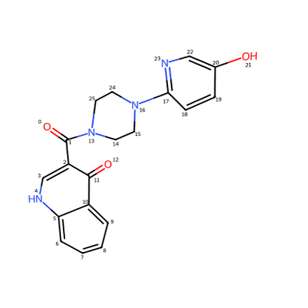 O=C(c1c[nH]c2ccccc2c1=O)N1CCN(c2ccc(O)cn2)CC1